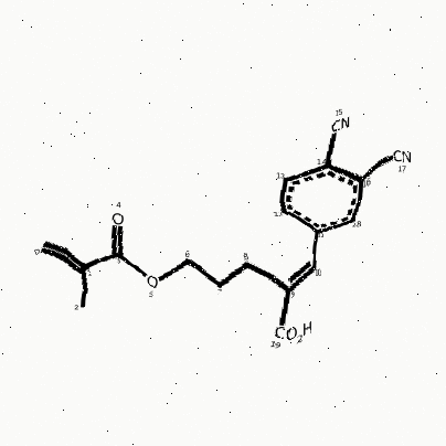 C=C(C)C(=O)OCCCC(=Cc1ccc(C#N)c(C#N)c1)C(=O)O